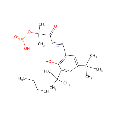 CC(C)(O[PH](=O)O)C(=O)/C=C/c1cc(C(C)(C)C)cc(C(C)(C)C)c1O.CCCC